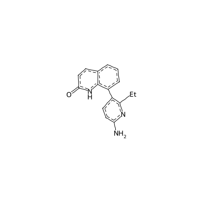 CCc1nc(N)ccc1-c1cccc2ccc(=O)[nH]c12